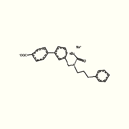 CCCCC(=O)N(CCCc1ccccc1)Cc1cccc(-c2ccc(C(=O)[O-])cc2)c1.[Na+]